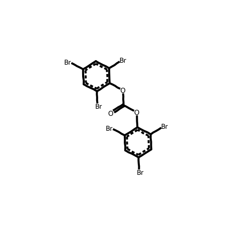 O=C(Oc1c(Br)cc(Br)cc1Br)Oc1c(Br)cc(Br)cc1Br